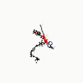 CCN(C(=O)CNC(=O)OCc1ccc(NC(=O)[C@H](C)NC(=O)[C@@H](NC(=O)CCCn2nnc(CSC)c2CSC)C(C)C)cc1)C1COC(OC2C(O[C@H]3C#C/C=C\C#CC4C(NC(=O)OC)C(=O)C[C@H](O)/C(=C/CSSC(C)(C)CCC(=O)NCCOCCOCCOCCO)C43)OC(C)C(NOC3CC(O)C(SC(=O)c4c(C)c(I)c(OC5OC(C)C(O)C(OC)C5O)c(OC)c4OC)C(C)O3)C2O)CC1OC